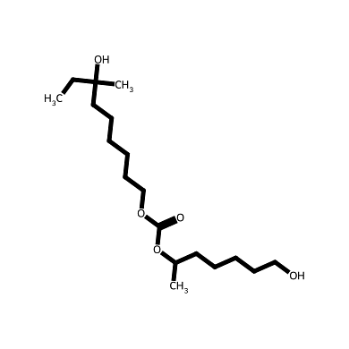 CCC(C)(O)CCCCCCOC(=O)OC(C)CCCCCO